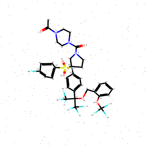 CC(=O)N1CCN(C(=O)N2CC[C@](c3ccc(C(OCc4ccccc4OC(F)(F)F)(C(F)(F)F)C(F)(F)F)cc3)(S(=O)(=O)c3ccc(F)cc3)C2)CC1